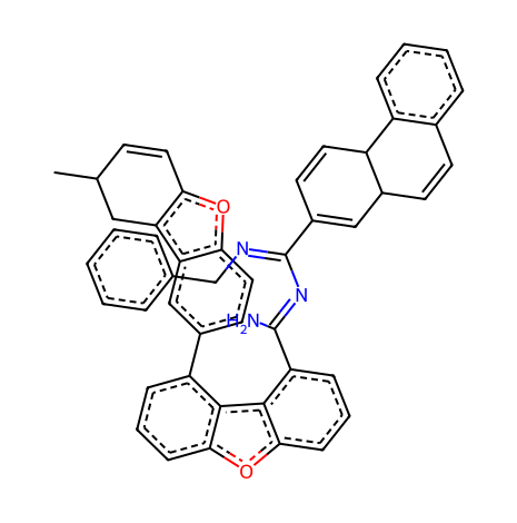 CC1C=Cc2oc3ccc(-c4cccc5oc6cccc(/C(N)=N/C(=N\Cc7ccccc7)C7=CC8C=Cc9ccccc9C8C=C7)c6c45)cc3c2C1